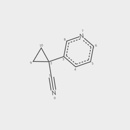 N#CC1(c2cc[c]nc2)CC1